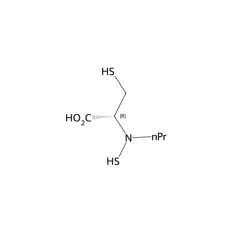 CCCN(S)[C@@H](CS)C(=O)O